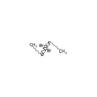 CCCCCCCCc1ccc(Cc2sc3c(Br)c(Cc4ccc(CCCCCCCC)s4)sc3c2Br)s1